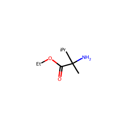 CCOC(=O)C(C)(N)C(C)C